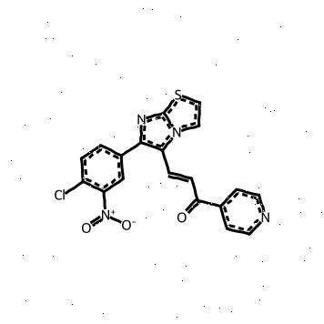 O=C(C=Cc1c(-c2ccc(Cl)c([N+](=O)[O-])c2)nc2sccn12)c1ccncc1